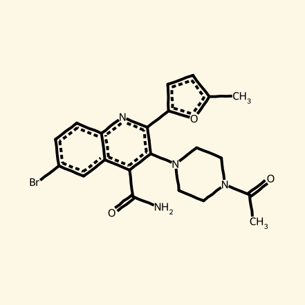 CC(=O)N1CCN(c2c(-c3ccc(C)o3)nc3ccc(Br)cc3c2C(N)=O)CC1